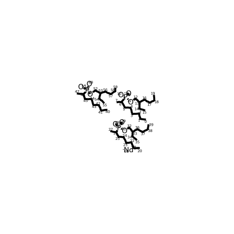 CCCCCCC(C)P(=O)([O-])OCC(CC)CCCC.CCCCCCC(C)P(=O)([O-])OCC(CC)CCCC.CCCCCCC(C)P(=O)([O-])OCC(CC)CCCC.[Nd+3]